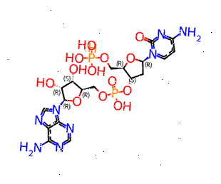 Nc1ccn([C@H]2C[C@H](OP(=O)(O)OC[C@H]3O[C@@H](n4cnc5c(N)ncnc54)[C@H](O)[C@@H]3O)[C@@H](CO[PH](O)(O)O)O2)c(=O)n1